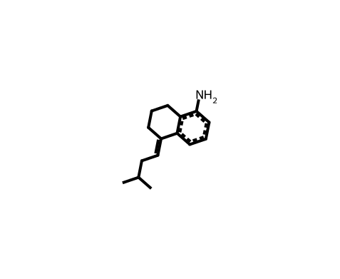 CC(C)C/C=C1\CCCc2c(N)cccc21